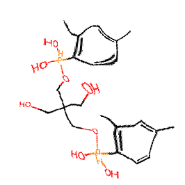 Cc1ccc([PH](O)(O)OCC(CO)(CO)CO[PH](O)(O)c2ccc(C)cc2C)c(C)c1